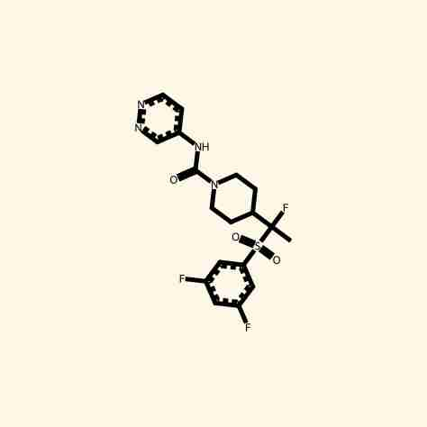 CC(F)(C1CCN(C(=O)Nc2ccnnc2)CC1)S(=O)(=O)c1cc(F)cc(F)c1